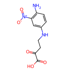 Nc1ccc(NCCC(=O)C(=O)O)cc1[N+](=O)[O-]